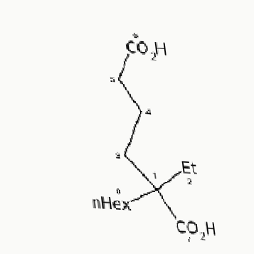 CCCCCCC(CC)(CCCC(=O)O)C(=O)O